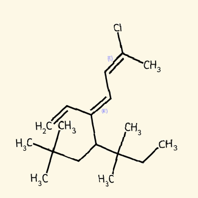 C=C/C(=C\C=C(/C)Cl)C(CC(C)(C)C)C(C)(C)CC